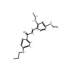 CCCSc1ccc(C(=O)C=Cc2ccc(OCC)cc2OCC)cc1